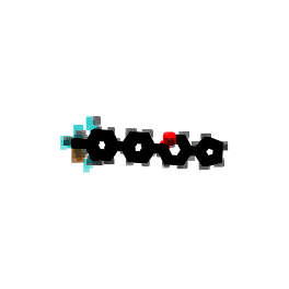 Fc1cc(-c2ccc(C3CCC(C4CCCC4)CO3)cc2)cc(F)c1C(F)(F)Br